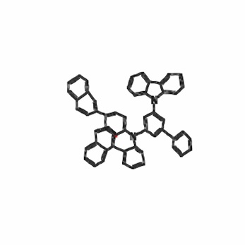 c1ccc(-c2cc(N(c3ccc(-c4ccc5ccccc5c4)cc3)c3ccccc3-c3cccc4ccccc34)cc(-n3c4ccccc4c4ccccc43)c2)cc1